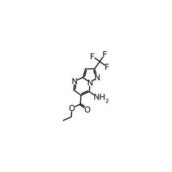 CCOC(=O)c1cnc2cc(C(F)(F)F)nn2c1N